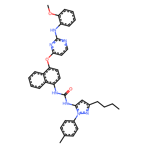 CCCCc1cc(NC(=O)Nc2ccc(Oc3ccnc(Nc4ccccc4OC)n3)c3ccccc23)n(-c2ccc(C)cc2)n1